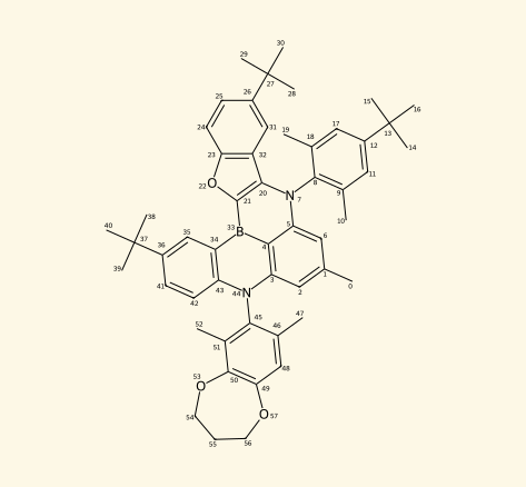 Cc1cc2c3c(c1)N(c1c(C)cc(C(C)(C)C)cc1C)c1c(oc4ccc(C(C)(C)C)cc14)B3c1cc(C(C)(C)C)ccc1N2c1c(C)cc2c(c1C)OCCCO2